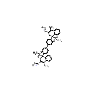 [H]/N=N/C1=C(N)c2ccccc2C(c2ccc(-c3ccc(C4(S(N)(=O)=O)CC(/N=N/[H])=C(N)c5ccccc54)cc3)cc2)(S(N)(=O)=O)C1